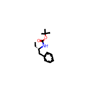 CC[C@@H](Cc1ccccc1)NC(=O)OC(C)(C)C